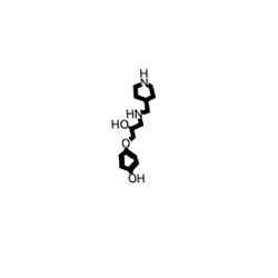 Oc1ccc(OC[C@@H](O)CNCC2CCNCC2)cc1